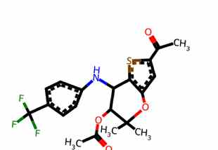 CC(=O)OC1C(Nc2ccc(C(F)(F)F)cc2)c2sc(C(C)=O)cc2OC1(C)C